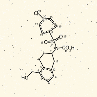 O=C(O)N(C1CCc2c(CO)cccc2C1)S(=O)(=O)c1ccc(Cl)cc1